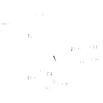 COc1ccc(N(CCO)CCO)cc1C[C@@H](CC(=O)OC(C)(C)C)NB(C)O